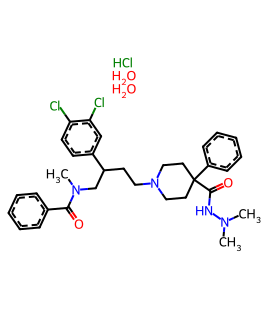 CN(C)NC(=O)C1(c2ccccc2)CCN(CCC(CN(C)C(=O)c2ccccc2)c2ccc(Cl)c(Cl)c2)CC1.Cl.O.O